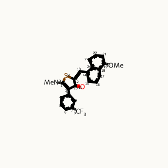 CNC1=C(c2cccc(C(F)(F)F)c2)C(=O)C(=Cc2cccc3c(OC)cccc23)S1